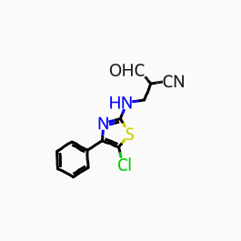 N#CC(C=O)CNc1nc(-c2ccccc2)c(Cl)s1